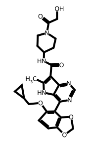 Cc1[nH]c2c(-c3c(OCC4CC4)ccc4c3OCO4)ncnc2c1C(=O)NC1CCN(C(=O)CO)CC1